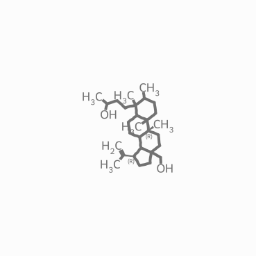 C=C(C)[C@@H]1CCC2(CO)CC[C@]3(C)C(CCC4C(C)(CCC(C)O)C(C)CCC43C)C12